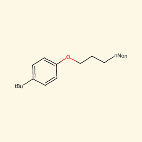 CCCCCCCCCCCCOc1ccc(C(C)(C)C)cc1